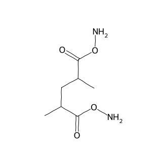 CC(CC(C)C(=O)ON)C(=O)ON